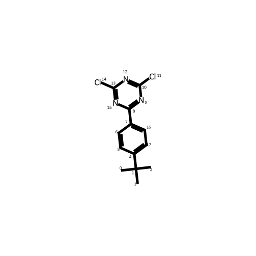 CC(C)(C)c1ccc(-c2nc(Cl)nc(Cl)n2)cc1